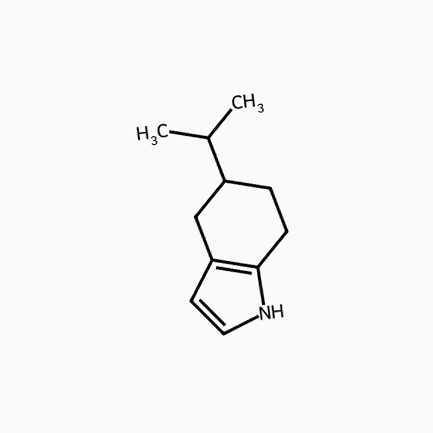 CC(C)C1CCc2[nH]ccc2C1